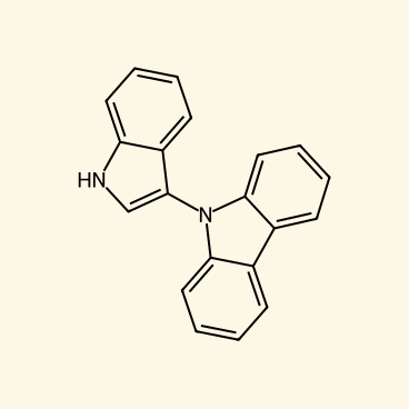 c1ccc2c(-n3c4ccccc4c4ccccc43)c[nH]c2c1